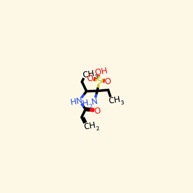 C=CC(=O)NC(CC)C(N)(CC)S(=O)(=O)O